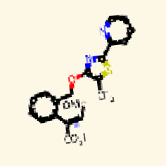 CO/C=C(/C(=O)O)c1ccccc1COc1nc(-c2ccccn2)sc1C(F)(F)F